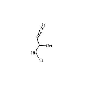 CCNC(O)C=C=O